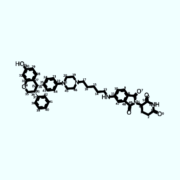 O=C1CCC(N2C(=O)c3ccc(NCCCCCN4CCN(c5ccc([C@H]6c7ccc(O)cc7OC[C@H]6c6ccccc6)cc5)CC4)cc3C2=O)C(=O)N1